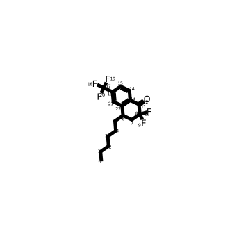 CCCCCCC1CC(F)(F)C(=O)c2ccc(C(F)(F)F)cc21